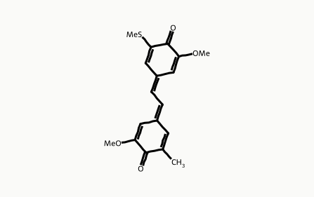 COC1=C/C(=C\C=C2/C=C(OC)C(=O)C(SC)=C2)C=C(C)C1=O